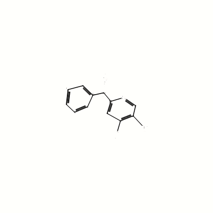 Cc1cc([C@@H](N=O)c2ccccc2)ncc1C(C)C